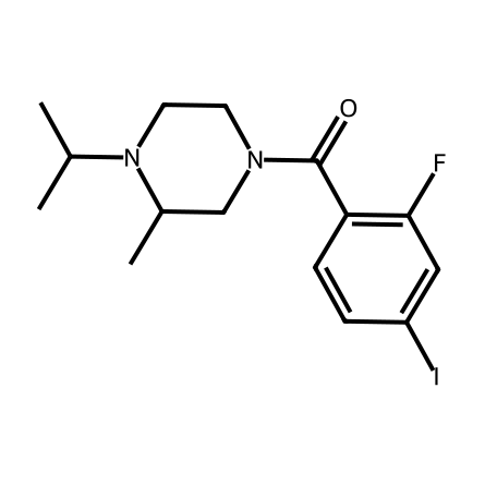 CC(C)N1CCN(C(=O)c2ccc(I)cc2F)CC1C